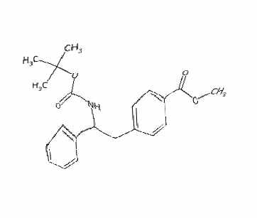 COC(=O)c1ccc(CC(NC(=O)OC(C)(C)C)c2ccccc2)cc1